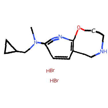 Br.Br.CN(CC1CC1)c1ccc2c(n1)OCCNC2